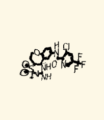 CN1C(=N)N[C@]2(C)c3cc(NC(=O)c4ncc(C(F)(F)F)cc4Cl)ccc3OCCC2S1(=O)=O